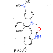 CCOC(=O)c1ccc2c(c1)NC(=O)/C2=C(/c1ccccc1)N(C)c1ccc(N(CC)CC)cc1